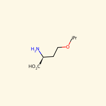 CC(C)OCC[C@H](N)C(=O)O